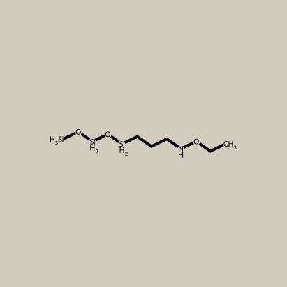 CCONCCC[SiH2]O[SiH2]O[SiH3]